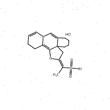 CCS(=O)(=O)C(C)=C1CC23CCCCC2=CN2C=CCCC2=C3O1.Cl